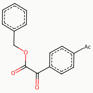 CC(=O)c1ccc(C(=O)C(=O)OCc2ccccc2)cc1